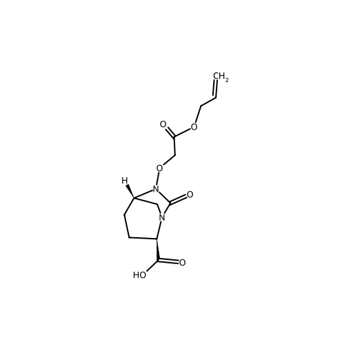 C=CCOC(=O)CON1C(=O)N2C[C@@H]1CC[C@@H]2C(=O)O